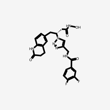 O=C(C[C@@H](Cc1ccc2c(c1)CCC(=O)N2)n1cc(CNC(=O)c2ccc(F)c(F)c2)nn1)NO